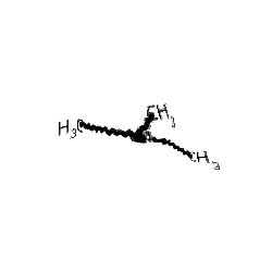 CCCCCCCCCCCCCCCC[n+]1ccn(CCCCCCCCCCCCCCC)c1CCCCC